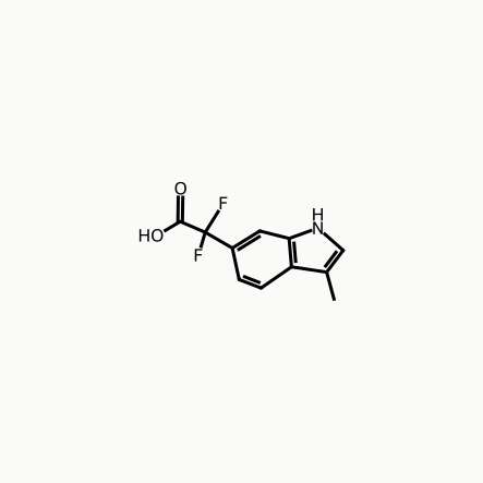 Cc1c[nH]c2cc(C(F)(F)C(=O)O)ccc12